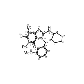 CCn1c(=O)c2c(nc(NC3CCCCC3)n2Cc2cccc(OC)c2)n(CC)c1=O